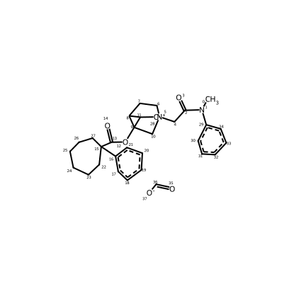 CN(C(=O)C[N+]12CCC(CC1)C(OC(=O)C1(c3ccccc3)CCCCCC1)C2)c1ccccc1.O=C[O-]